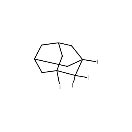 IC12CC3CC(C1)CC(I)(C3)C2(I)I